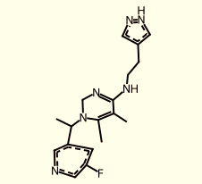 CC1=C(C)N(C(C)c2cncc(F)c2)CN=C1NCCc1cn[nH]c1